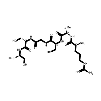 CC[C@H](C)[C@H](NC(=O)[C@@H](N)CCCNC(=N)N)C(=O)N[C@@H](CO)C(=O)NCC(=O)N[C@@H](CO)C(=O)N[C@@H](CO)C(=O)O